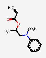 C=CC(=O)OC(C)CN(C(=O)O)c1ccccc1